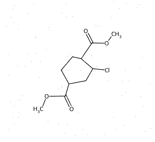 COC(=O)C1CCC(C(=O)OC)C(Cl)C1